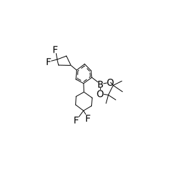 CC1(C)OB(c2ccc(C3CC(F)(F)C3)cc2C2CCC(F)(F)CC2)OC1(C)C